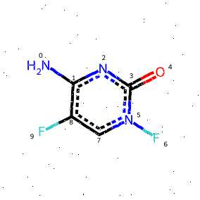 Nc1nc(=O)n(F)cc1F